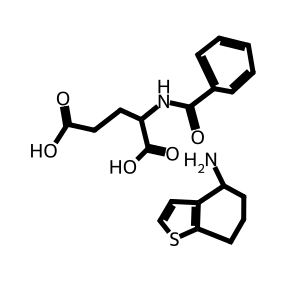 NC1CCCc2sccc21.O=C(O)CCC(NC(=O)c1ccccc1)C(=O)O